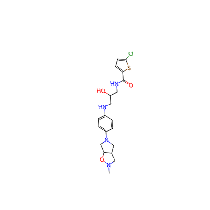 CN1CC2CN(c3ccc(NCC(O)CNC(=O)c4ccc(Cl)s4)cc3)CC2O1